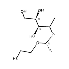 CC(O[C@H](C)OCCS)[C@@H](O)[C@H](O)CO